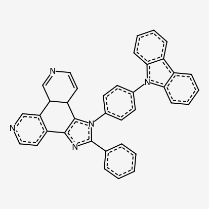 C1=CC2c3c(nc(-c4ccccc4)n3-c3ccc(-n4c5ccccc5c5ccccc54)cc3)-c3ccncc3C2C=N1